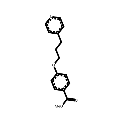 COC(=O)c1ccc(OCCCc2ccncc2)cc1